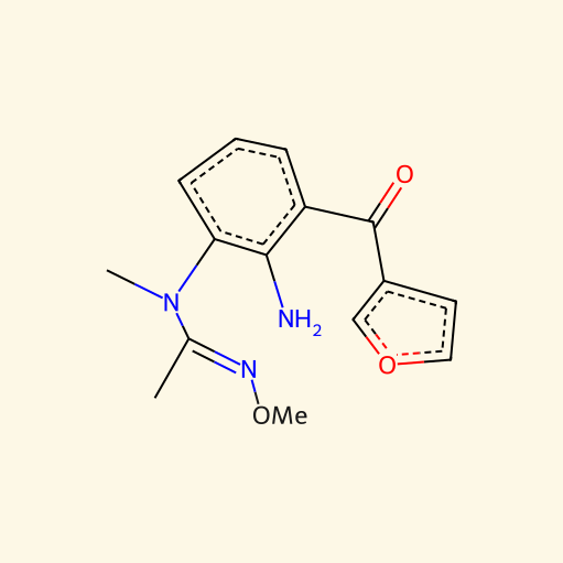 CON=C(C)N(C)c1cccc(C(=O)c2ccoc2)c1N